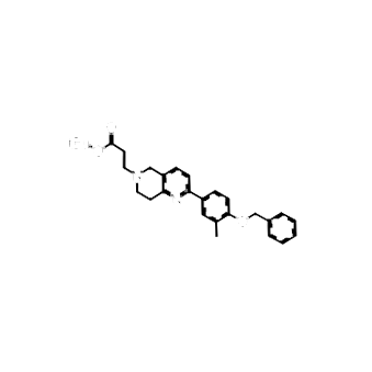 Cc1cc(-c2ccc3c(n2)CCN(CCC(=O)OC(C)(C)C)C3)ccc1OCc1ccccc1